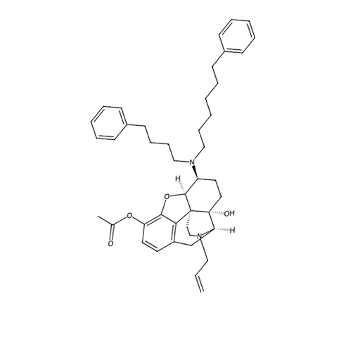 C=CCN1CC[C@]23c4c5ccc(OC(C)=O)c4O[C@H]2[C@@H](N(CCCCCCc2ccccc2)CCCCc2ccccc2)CC[C@@]3(O)[C@H]1C5